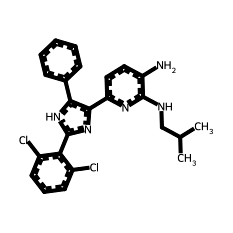 CC(C)CNc1nc(-c2nc(-c3c(Cl)cccc3Cl)[nH]c2-c2ccccc2)ccc1N